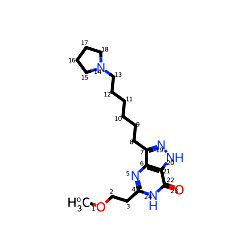 COCCc1nc2c(CCCCCCN3CCCC3)n[nH]c2c(=O)[nH]1